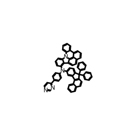 c1ccc(C2(c3ccccc3)c3ccc(N(c4ccc(-c5ccncn5)cc4)c4cccc5c4c4ccc6cccc7c8ccccc8n5c4c67)cc3-c3c2ccc2ccccc32)cc1